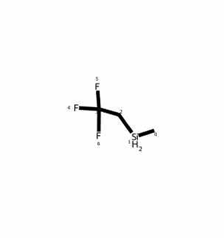 C[SiH2]CC(F)(F)F